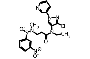 CCN(C(=O)CCN(C)[S+]([O-])c1cccc([N+](=O)[O-])c1)c1cn(-c2cccnc2)nc1Cl